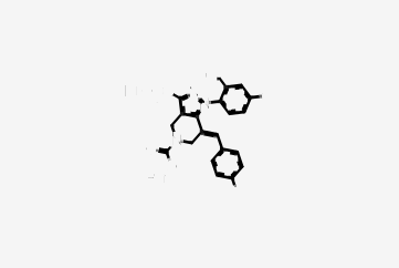 CCOC(=O)c1nn(-c2ccc(Cl)cc2Cl)c2c1CN(C(=O)OC(C)(C)C)CC2=Cc1ccc(F)cc1